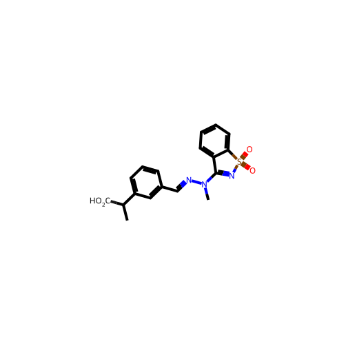 CC(C(=O)O)c1cccc(/C=N/N(C)C2=NS(=O)(=O)c3ccccc32)c1